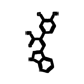 O=C(O)/C(=C\c1c[nH]c2ncccc12)c1ccc(O)c(Cl)c1